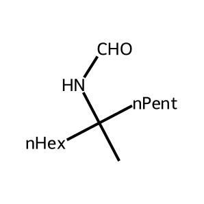 CCCCCCC(C)(CCCCC)NC=O